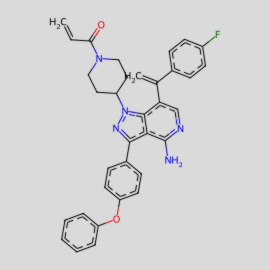 C=CC(=O)N1CCC(n2nc(-c3ccc(Oc4ccccc4)cc3)c3c(N)ncc(C(=C)c4ccc(F)cc4)c32)CC1